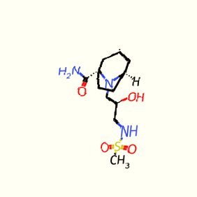 CS(=O)(=O)NC[C@H](O)CN1[C@H]2C[CH]C[C@]1(C(N)=O)CC2